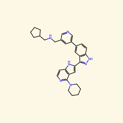 c1cc2[nH]c(-c3n[nH]c4ccc(-c5cncc(CNCC6CCCC6)c5)cc34)cc2c(N2CCCCC2)n1